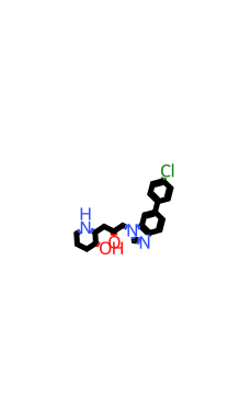 O=C(CC1NCCCC1O)Cn1cnc2ccc(-c3ccc(Cl)cc3)cc21